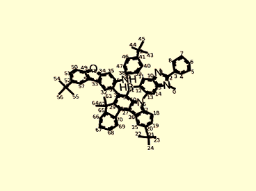 Cn1c(-c2ccccc2)nc2cc3c(cc21)-n1c2ccc(C(C)(C)C)cc2c2c4c(c(-c5cc6c(cc5Nc5ccc(C(C)(C)C)cc5)oc5ccc(C(C)(C)C)cc56)c(c21)B3)C(C)(C)c1ccccc1-4